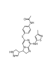 CC(=O)Nc1ccc(SC2=CN3C(=NCC3C3C=NNC3)C(Nc3cc(C)ns3)=N2)cc1